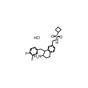 Cl.NC1CCc2ccc(CNS(=O)(=O)C3CCC3)cc2C1Cc1ccc(F)c(F)c1